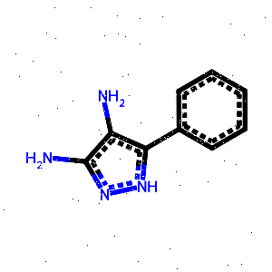 Nc1n[nH]c(-c2ccccc2)c1N